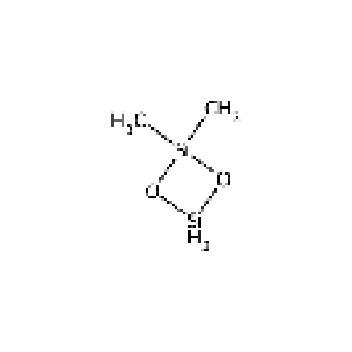 C[Si]1(C)O[SiH2]O1